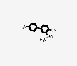 C[S+]([O-])c1cc(-c2ccc(C(F)(F)F)cc2)ccc1C#N